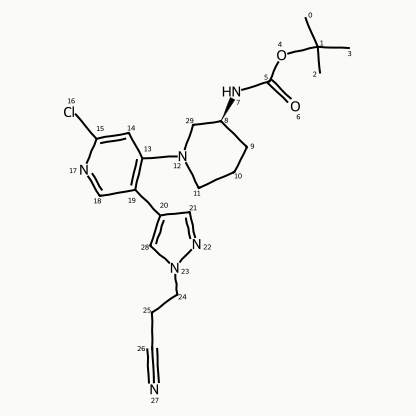 CC(C)(C)OC(=O)N[C@H]1CCCN(c2cc(Cl)ncc2-c2cnn(CCC#N)c2)C1